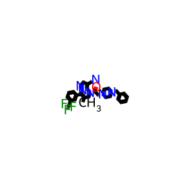 CC1=C(c2cccc(C(F)(F)F)c2)n2ncc(C#N)c2N(C(=O)CN2CCN(Cc3ccccc3)CC2)C1